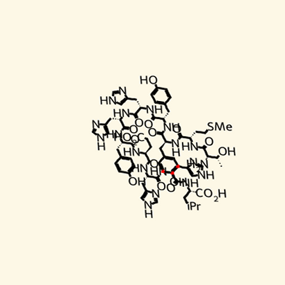 CSCC[C@H](NC(=O)[C@@H](N)[C@@H](C)O)C(=O)N[C@@H](Cc1ccc(O)cc1)C(=O)N[C@@H](Cc1ccc(O)cc1)C(=O)N[C@@H](Cc1c[nH]cn1)C(=O)N[C@@H](Cc1c[nH]cn1)C(=O)N[C@@H](Cc1ccc(O)cc1)C(=O)N[C@@H](CCC(=O)O)C(=O)N[C@@H](Cc1c[nH]cn1)C(=O)N[C@@H](Cc1c[nH]cn1)C(=O)N[C@@H](CC(C)C)C(=O)O